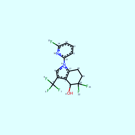 OC1c2c(C(F)(F)F)cn(-c3cccc(F)n3)c2CCC1(F)F